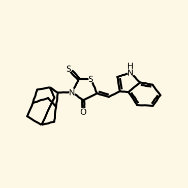 O=C1/C(=C/c2c[nH]c3ccccc23)SC(=S)N1C1C2CC3CC(C2)CC1C3